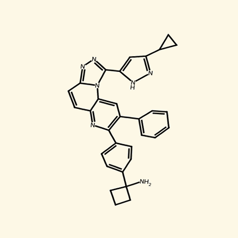 NC1(c2ccc(-c3nc4ccc5nnc(-c6cc(C7CC7)n[nH]6)n5c4cc3-c3ccccc3)cc2)CCC1